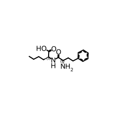 CCCC[C@H](NC(=O)[C@@H](N)CCc1ccccc1)C(=O)O